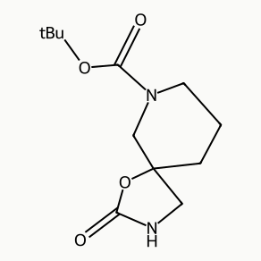 CC(C)(C)OC(=O)N1CCCC2(CNC(=O)O2)C1